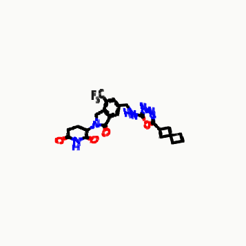 O=C1CCC(N2Cc3c(cc(CNc4nnc(C5CC6(CCC6)C5)o4)cc3C(F)(F)F)C2=O)C(=O)N1